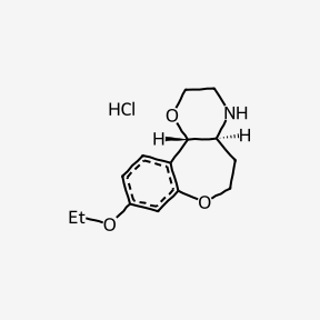 CCOc1ccc2c(c1)OCC[C@@H]1NCCO[C@@H]21.Cl